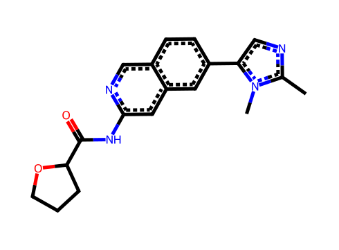 Cc1ncc(-c2ccc3cnc(NC(=O)C4CCCO4)cc3c2)n1C